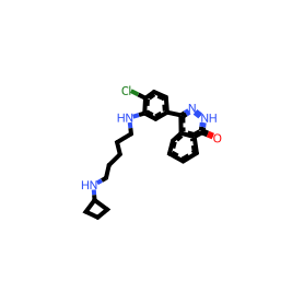 O=c1[nH]nc(-c2ccc(Cl)c(NCCCCCNC3CCC3)c2)c2ccccc12